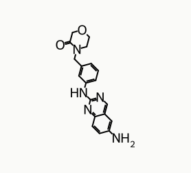 Nc1ccc2nc(Nc3cccc(CN4CCOCC4=O)c3)ncc2c1